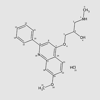 CNCC(O)COc1cc(-c2ccccc2)nc2cc(OC)ccc12.Cl